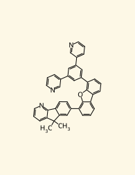 CC1(C)c2cc(-c3cccc4c3oc3c(-c5cc(-c6cccnc6)cc(-c6cccnc6)c5)cccc34)ccc2-c2ncccc21